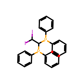 IC(I)C(P(c1ccccc1)c1ccccc1)P(c1ccccc1)c1ccccc1